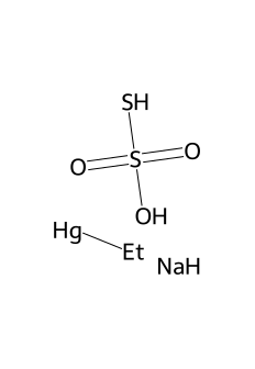 C[CH2][Hg].O=S(=O)(O)S.[NaH]